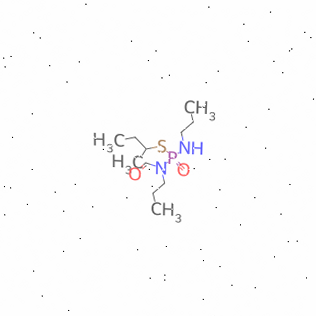 CCCNP(=O)(SC(C)CC)N(C=O)CCC